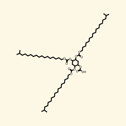 CC(C)CCCCCCCCCCCCCCCOC(=O)OC1CC(OC(=O)OCCCCCCCCCCCCCCCC(C)C)C(OC(=O)OCCCCCCCCCCCCCCCC(C)C)CC1OC(=O)O